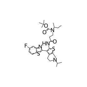 CCC(C)N(CCC(=O)Nc1sc2c(c1-c1nc3cc(F)ccc3s1)CCN(C(C)C)C2)C(=O)OC(C)(C)C